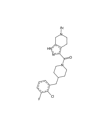 CC(=O)N1CCc2c(C(=O)N3CCC(Cc4cccc(F)c4Cl)CC3)n[nH]c2C1